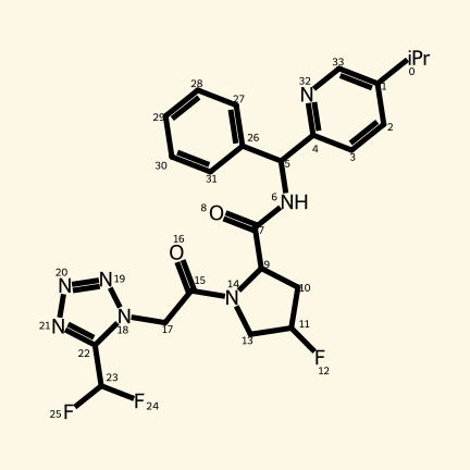 CC(C)c1ccc(C(NC(=O)C2CC(F)CN2C(=O)Cn2nnnc2C(F)F)c2ccccc2)nc1